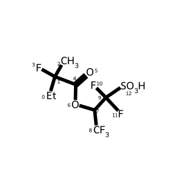 CCC(C)(F)C(=O)OC(C(F)(F)F)C(F)(F)S(=O)(=O)O